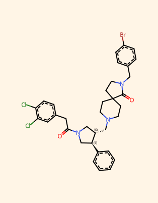 O=C(Cc1ccc(Cl)c(Cl)c1)N1C[C@H](CN2CCC3(CC2)CCN(Cc2ccc(Br)cc2)C3=O)[C@@H](c2ccccc2)C1